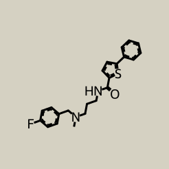 CN(CCCNC(=O)c1ccc(-c2ccccc2)s1)Cc1ccc(F)cc1